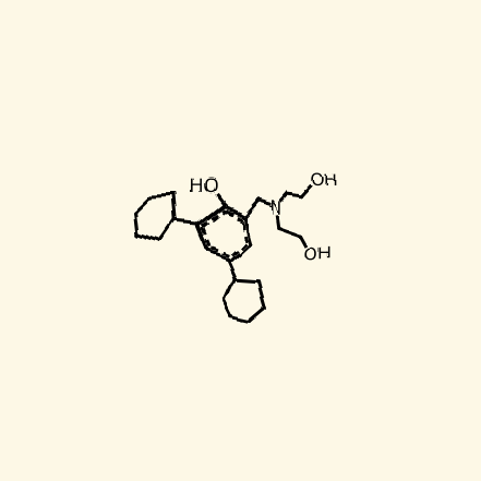 OCCN(CCO)Cc1cc(C2CCCCC2)cc(C2CCCCC2)c1O